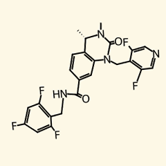 C[C@H]1c2ccc(C(=O)NCc3c(F)cc(F)cc3F)cc2N(Cc2c(F)cncc2F)C(=O)N1C